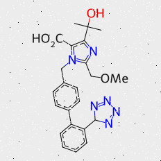 COCc1nc(C(C)(C)O)c(C(=O)O)n1Cc1ccc(-c2ccccc2C2N=NN=N2)cc1